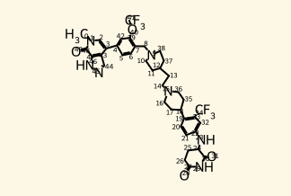 Cn1cc(-c2ccc(CN3CCC(CCN4CCC(c5ccc(NC6CCC(=O)NC6=O)cc5C(F)(F)F)CC4)CC3)c(OC(F)(F)F)c2)c2cn[nH]c2c1=O